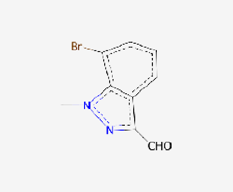 Cn1nc(C=O)c2cccc(Br)c21